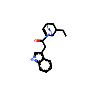 CCC1CC2C=CC1N(C(=O)Cc1c[nH]c3ccccc13)C2